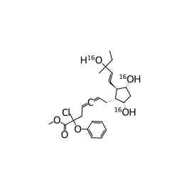 CCC(C)([16OH])C=C[C@@H]1[C@@H](CC=C=CCC(Cl)(Oc2ccccc2)C(=O)OC)[C@@H]([16OH])C[C@H]1[16OH]